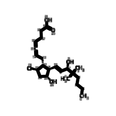 CCCCC(C)(C)[C@H](O)/C=C/[C@@H]1[C@@H](CC=C=CCCC(=O)O)[C@H](Cl)C[C@H]1O